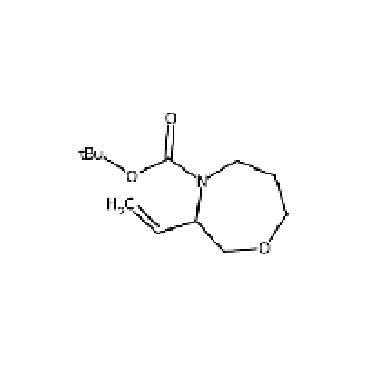 C=CC1COCCCN1C(=O)OC(C)(C)C